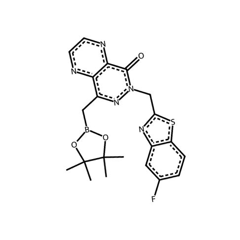 CC1(C)OB(Cc2nn(Cc3nc4cc(F)ccc4s3)c(=O)c3nccnc23)OC1(C)C